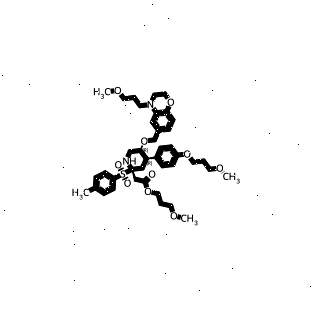 COCCCOC(=O)C[C@]1(S(=O)(=O)c2ccc(C)cc2)C[C@H](c2ccc(OCCCOC)cc2)[C@@H](OCc2ccc3c(c2)N(CCCOC)CCO3)CN1